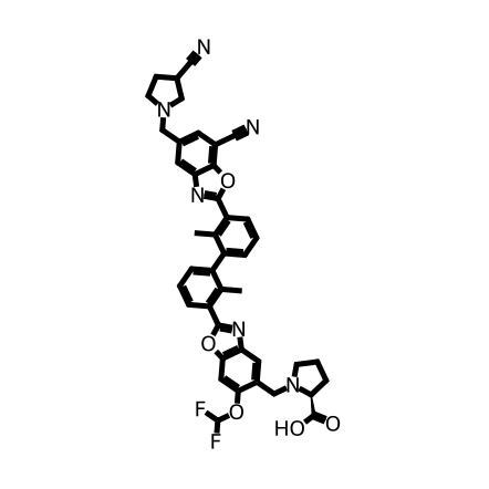 Cc1c(-c2nc3cc(CN4CCC[C@H]4C(=O)O)c(OC(F)F)cc3o2)cccc1-c1cccc(-c2nc3cc(CN4CCC(C#N)C4)cc(C#N)c3o2)c1C